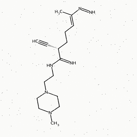 C#C[C@H](CC/C=C(\C)N=N)C(=N)NCCN1CCN(C)CC1